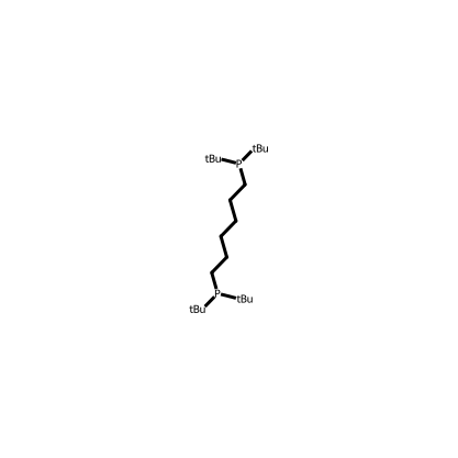 CC(C)(C)P(CCCCCCP(C(C)(C)C)C(C)(C)C)C(C)(C)C